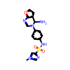 Cn1cnc(S(=O)(=O)Nc2ccc(N3C=Nc4occc4C3N)cc2)c1